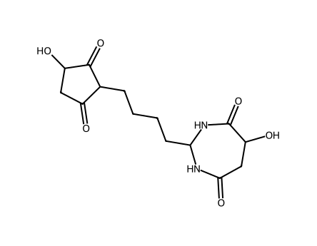 O=C1CC(O)C(=O)NC(CCCCC2C(=O)CC(O)C2=O)N1